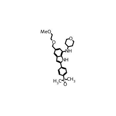 COCCOCc1cc(NC2CCOCC2)c2[nH]c(-c3ccc(P(C)(C)=O)cc3)cc2c1